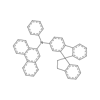 c1ccc(N(c2ccc3c(c2)C2(CCc4ccccc42)c2ccccc2-3)c2cc3ccccc3c3ccccc23)cc1